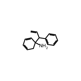 C=CC(c1ccccc1)C1(N)C=CC=CC1